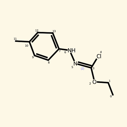 CCO/C(Cl)=N/Nc1ccc(C)cc1